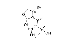 CC(C)[C@H]1COC(O)N1C(=O)[C@@H](NP)C(C)(C)O